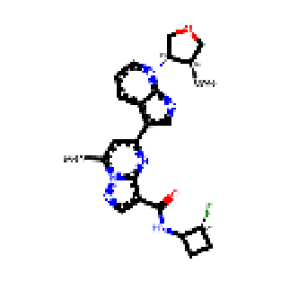 CNc1cc(-c2cnc3n([C@@H]4COC[C@H]4OC)cccc2-3)nc2c(C(=O)NC3CC[C@H]3F)cnn12